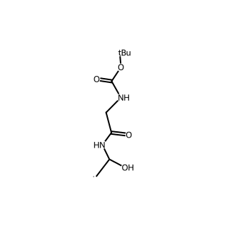 [CH2]C(O)NC(=O)CNC(=O)OC(C)(C)C